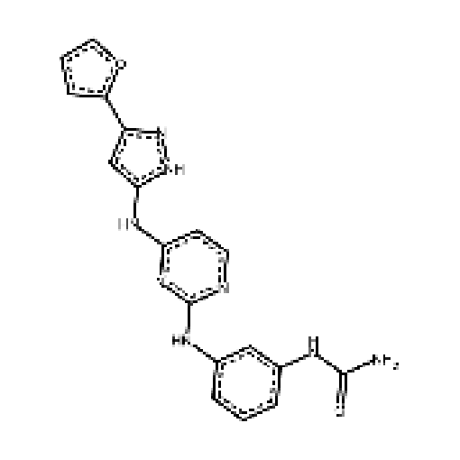 NC(=O)Nc1cccc(Nc2nccc(Nc3cc(-c4ccco4)n[nH]3)n2)c1